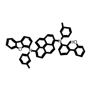 Cc1cccc(N(c2cccc(-c3ccccc3O)c2C)c2ccc3ccc4c(N(c5cccc(C)c5)c5cccc6c5oc5ccccc56)ccc5ccc2c3c54)c1